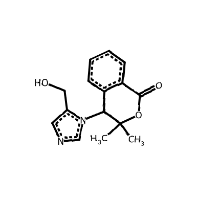 CC1(C)OC(=O)c2ccccc2C1n1cncc1CO